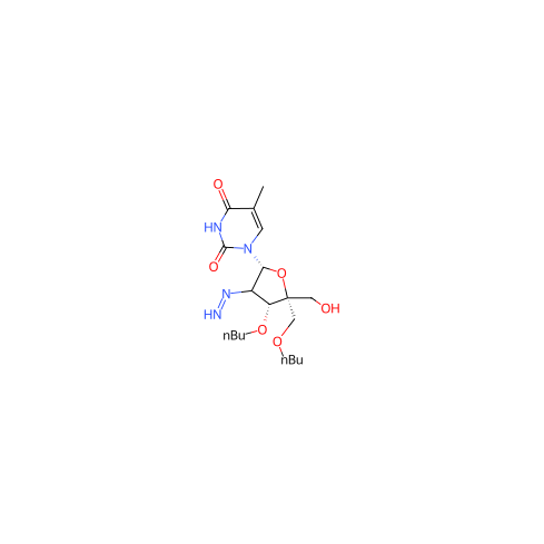 CCCCOC[C@@]1(CO)O[C@@H](n2cc(C)c(=O)[nH]c2=O)C(N=N)[C@H]1OCCCC